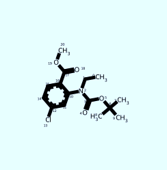 CCN(C(=O)OC(C)(C)C)c1cc(Cl)ccc1C(=O)OC